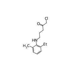 CCc1cccc(C)c1NCCCC(=O)CCl